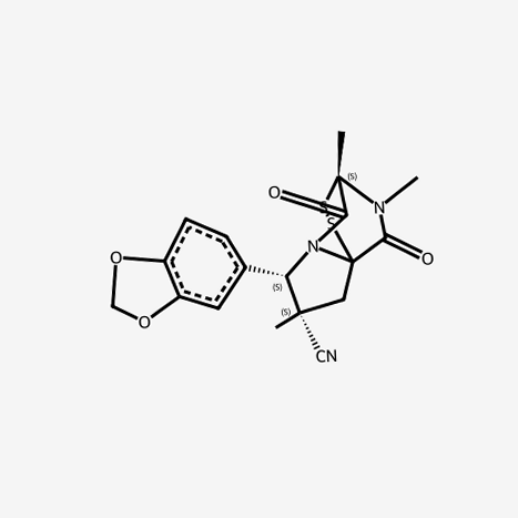 CN1C(=O)C23C[C@](C)(C#N)[C@H](c4ccc5c(c4)OCO5)N2C(=O)[C@]1(C)SS3